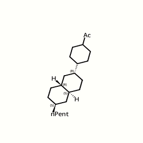 CCCCC[C@H]1CC[C@@H]2C[C@H](C3CCC(C(C)=O)CC3)CC[C@H]2C1